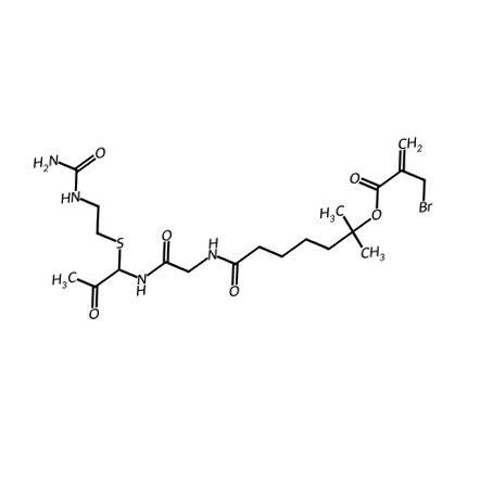 C=C(CBr)C(=O)OC(C)(C)CCCCC(=O)NCC(=O)NC(SCCNC(N)=O)C(C)=O